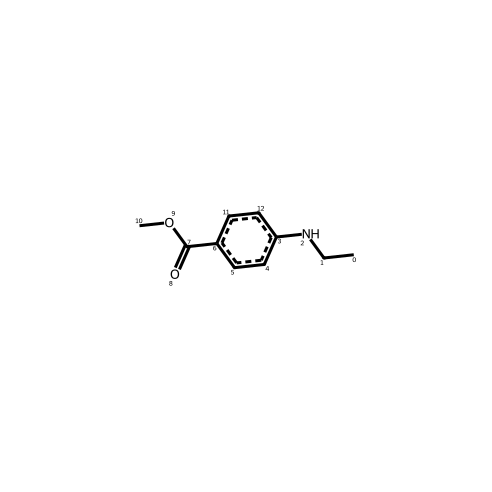 CCNc1ccc(C(=O)OC)cc1